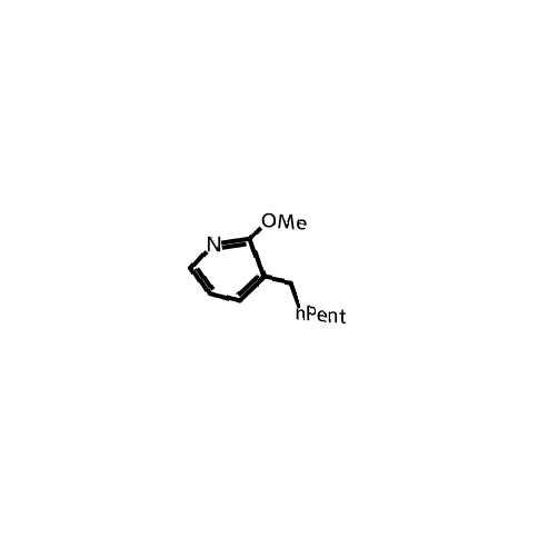 CCCCCCc1cccnc1OC